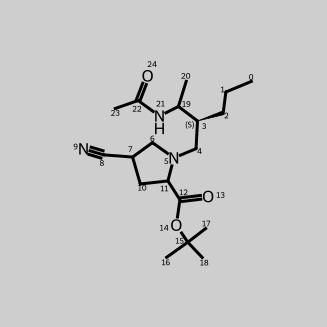 CCC[C@@H](CN1CC(C#N)CC1C(=O)OC(C)(C)C)C(C)NC(C)=O